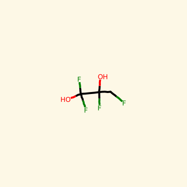 OC(F)(F)C(O)(F)CF